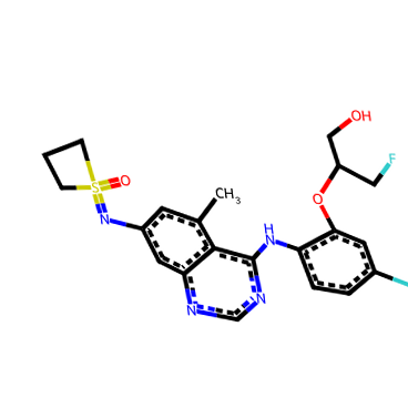 Cc1cc(N=S2(=O)CCC2)cc2ncnc(Nc3ccc(F)cc3OC(CO)CF)c12